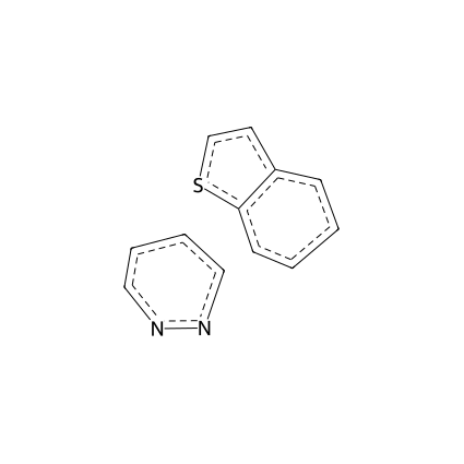 c1ccc2sccc2c1.c1ccnnc1